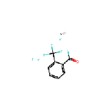 O=C(F)c1ccccc1C(F)(F)F.[F-].[F-].[F-].[Sb+3]